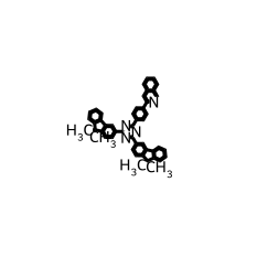 CC1(C)c2ccccc2-c2cc(-c3nc(-c4ccc(-c5cc6ccccc6cn5)cc4)nc(-c4ccc5c(c4)-c4ccccc4C5(C)C)n3)ccc21